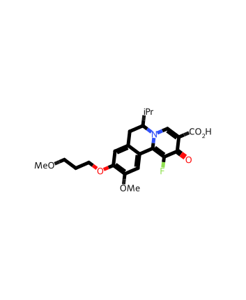 COCCCOc1cc2c(cc1OC)-c1c(F)c(=O)c(C(=O)O)cn1C(C(C)C)C2